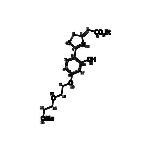 CCOC(=O)/C=C1/CSC(c2ccc(OCCOCCOC)cc2O)=N1